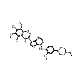 CCN1CCN(c2ccc(Nc3ncnc4c(C(=O)Nc5c(Cl)c(OC)c(Cl)c(OC)c5Cl)csc34)c(OC)c2)CC1